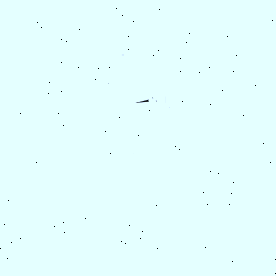 N[C@@H](Cc1ccc(O)cc1O)C(=O)O